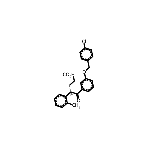 Cc1ccccc1[C@H](CCC(=O)O)C(=O)c1cccc(OCc2ccc(Cl)cc2)c1